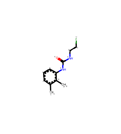 Cc1cccc(NC(=O)NCCF)c1C